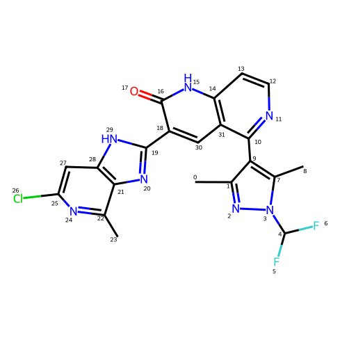 Cc1nn(C(F)F)c(C)c1-c1nccc2[nH]c(=O)c(-c3nc4c(C)nc(Cl)cc4[nH]3)cc12